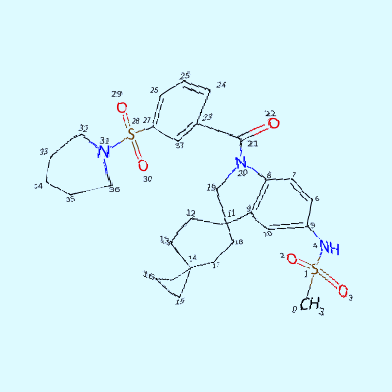 CS(=O)(=O)Nc1ccc2c(c1)C1(CCC3(CC3)CC1)CN2C(=O)c1cccc(S(=O)(=O)N2CCCCC2)c1